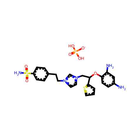 Nc1ccc(OC(Cn2cc[n+](CCc3ccc(S(N)(=O)=O)cc3)c2)c2cccs2)c(N)c1.O=P([O-])(O)O